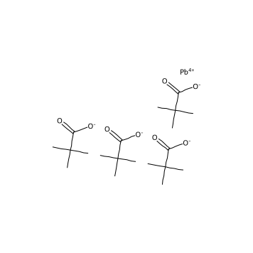 CC(C)(C)C(=O)[O-].CC(C)(C)C(=O)[O-].CC(C)(C)C(=O)[O-].CC(C)(C)C(=O)[O-].[Pb+4]